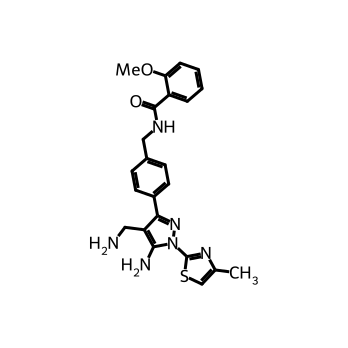 COc1ccccc1C(=O)NCc1ccc(-c2nn(-c3nc(C)cs3)c(N)c2CN)cc1